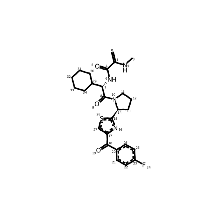 C=C(NC)C(=O)N[C@H](C(=O)N1CCC[C@H]1c1nc(C(=O)c2ccc(F)cc2)cs1)C1CCCCC1